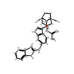 NC(=O)ON1C[C@H]2CC[C@@H](C1)N2Cc1coc2cc(Oc3nc4ncccc4s3)ccc12